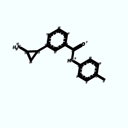 Cc1ccc(NC(=O)c2cccc(C3CC3N)c2)cc1